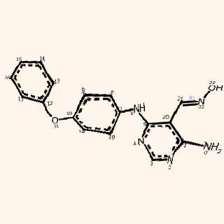 Nc1ncnc(Nc2ccc(Oc3ccccc3)cc2)c1/C=N/O